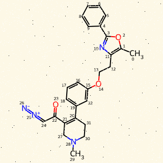 Cc1oc(-c2ccccc2)nc1CCOc1cccc(C2=C(C(=O)C=[N+]=[N-])CN(C)CC2)c1